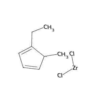 CCC1=CC=C[C]1C.[Cl][Zr][Cl]